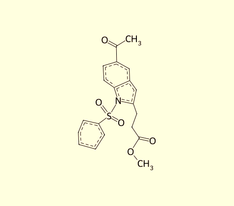 COC(=O)CCc1cc2cc(C(C)=O)ccc2n1S(=O)(=O)c1ccccc1